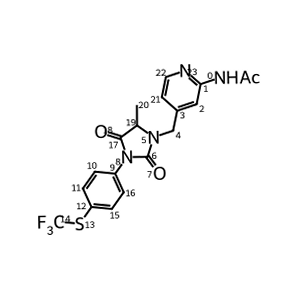 CC(=O)Nc1cc(CN2C(=O)N(c3ccc(SC(F)(F)F)cc3)C(=O)C2C)ccn1